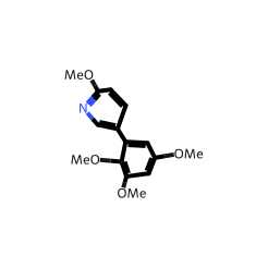 COc1cc(OC)c(OC)c(-c2ccc(OC)nc2)c1